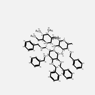 CO[C@@H]1OC(C)[C@H](OCc2ccccc2)[C@H](O[C@H]2O[C@@H](COCc3ccccc3)[C@@H](OCc3ccccc3)C(OCc3ccccc3)C2OCc2ccccc2)C1O[C@@H]1OC(COC(C)=O)[C@H](OC(C)=O)[C@H](OC(C)=O)C1NC(C)=O